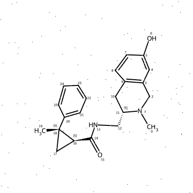 CN1Cc2cc(O)ccc2C[C@H]1CNC(=O)[C@H]1C[C@]1(C)c1ccccc1